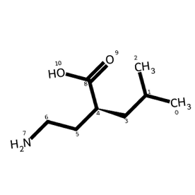 CC(C)C[C@@H](CCN)C(=O)O